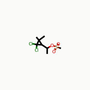 CC(OS(C)(=O)=O)C1C(C)(C)C1(Cl)Cl